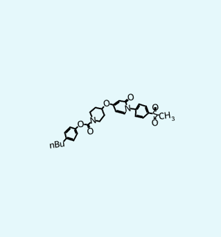 CCCCc1ccc(OC(=O)N2CCC(Oc3ccn(-c4ccc(S(C)(=O)=O)cc4)c(=O)c3)CC2)cc1